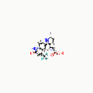 C[C@@H]1CC[C@@](/C=C/C(=O)O)(c2ccc3[nH]c(=O)cc(C(F)(F)F)c3c2)N1